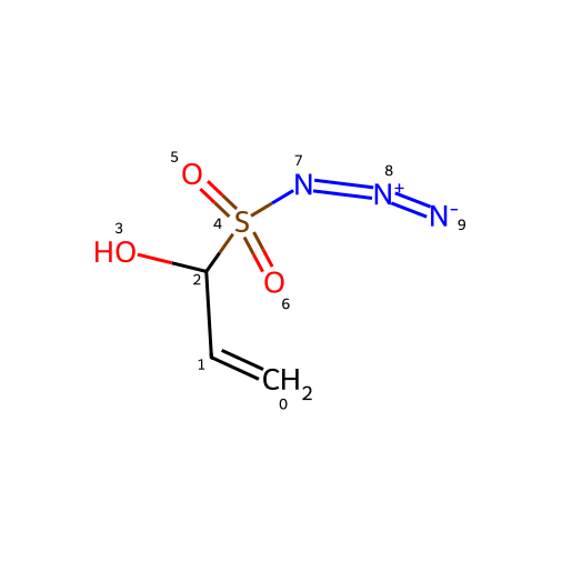 C=CC(O)S(=O)(=O)N=[N+]=[N-]